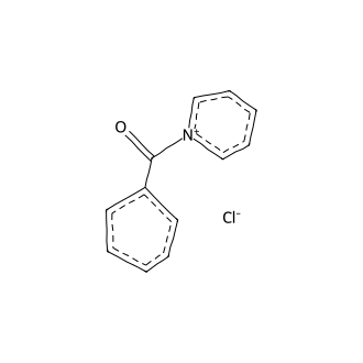 O=C(c1ccccc1)[n+]1ccccc1.[Cl-]